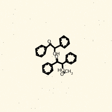 C=O.O=C(c1ccccc1)C(O)c1ccccc1.O=C(c1ccccc1)C(O)c1ccccc1